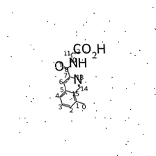 Cc1cccc2cc(C(=O)NCC(=O)O)ncc12